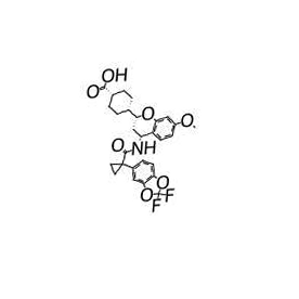 COc1ccc2c(c1)O[C@@H]([C@H]1CC[C@@H](C(=O)O)CC1)C[C@H]2NC(=O)C1(c2ccc3c(c2)OC(F)(F)O3)CC1